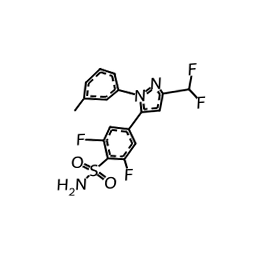 Cc1cccc(-n2nc(C(F)F)cc2-c2cc(F)c(S(N)(=O)=O)c(F)c2)c1